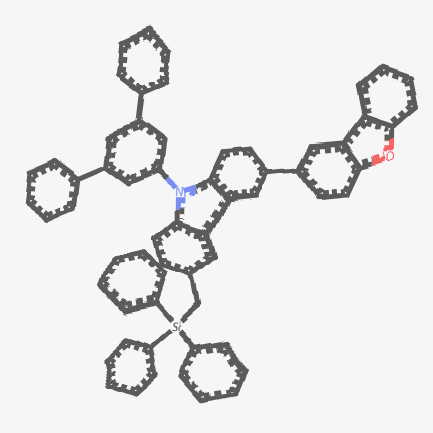 c1ccc(-c2cc(-c3ccccc3)cc(-n3c4ccc(C[Si](c5ccccc5)(c5ccccc5)c5ccccc5)cc4c4cc(-c5ccc6oc7ccccc7c6c5)ccc43)c2)cc1